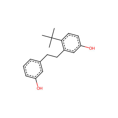 CC(C)(C)c1ccc(O)cc1CCc1cccc(O)c1